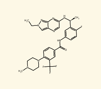 CCn1cc2ncc(N[C@@H](C)c3cc(NC(=O)c4ccc(N5CCN(C)CC5)c(C(F)(F)F)c4)ccc3F)nc2n1